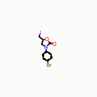 O=C1OC(CI)CN1c1ccc(Br)cc1